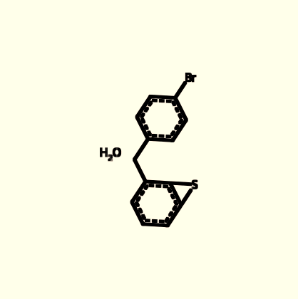 Brc1ccc(Cc2cccc3c2S3)cc1.O